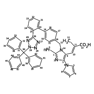 CCCc1nc(-n2cccc2)c(C=C(C)C(=O)O)n1Cc1ccc(-c2ccccc2-c2nnn(C(c3ccccc3)(c3ccccc3)c3ccccc3)n2)cc1